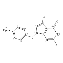 Cc1nc2c(c(C)cn2Cc2ccc(C(F)(F)F)cc2)c(=O)[nH]1